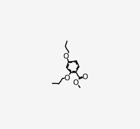 CCCOc1ccc(C(=O)OC)c(OCCC)c1